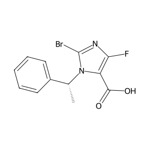 C[C@H](c1ccccc1)n1c(Br)nc(F)c1C(=O)O